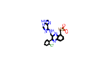 O=[SH](=O)Cc1cccc2nc(-c3ccccc3Cl)c(CNc3ncnc4[nH]cnc34)nc12